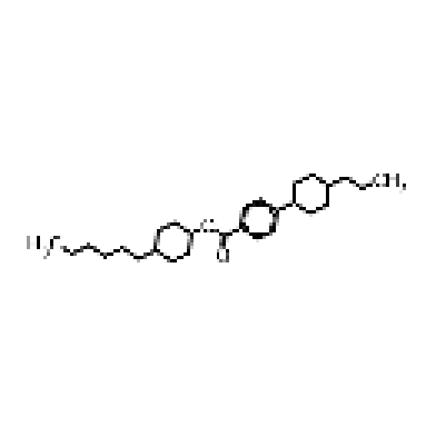 CCCCCCC1CCC(OC(=O)c2ccc(C3CCC(CCC)CC3)cc2)CC1